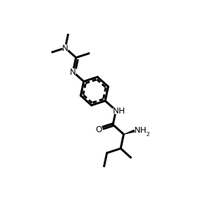 CCC(C)[C@H](N)C(=O)Nc1ccc(/N=C(\C)N(C)C)cc1